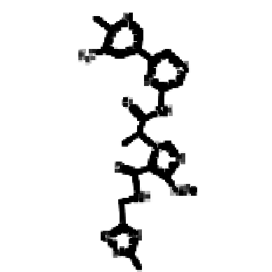 CNc1ncn([C@@H](C)C(=O)Nc2cncc(-c3cnc(C)c(C(F)(F)F)c3)n2)c1C(=O)NCc1nc(C)no1